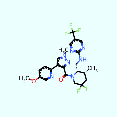 COc1ccc(-c2cn(C)nc2C(=O)N2CC(F)(F)C[C@@H](C)[C@H]2CNc2ncc(C(F)(F)F)cn2)nc1